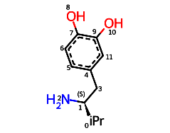 CC(C)[C@@H](N)Cc1ccc(O)c(O)c1